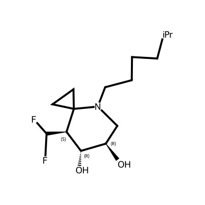 CC(C)CCCCN1C[C@@H](O)[C@H](O)[C@@H](C(F)F)C12CC2